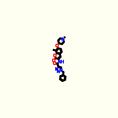 Cc1c(OC2CCN(C)CC2)ccc2cc(NC(=O)c3cn(Cc4ccccc4)nn3)c(=O)oc12